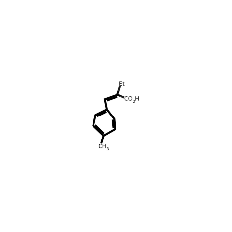 CCC(=Cc1ccc(C)cc1)C(=O)O